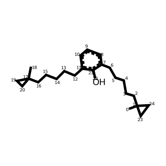 CC1(CCCCCc2cccc(CCCCCC3(C)CC3)c2O)CC1